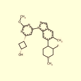 COc1nc(-n2ncc3cc(C)c(C4CCN(C)CC4F)cc32)cc([C@H]2C[C@@H](O)C2)n1